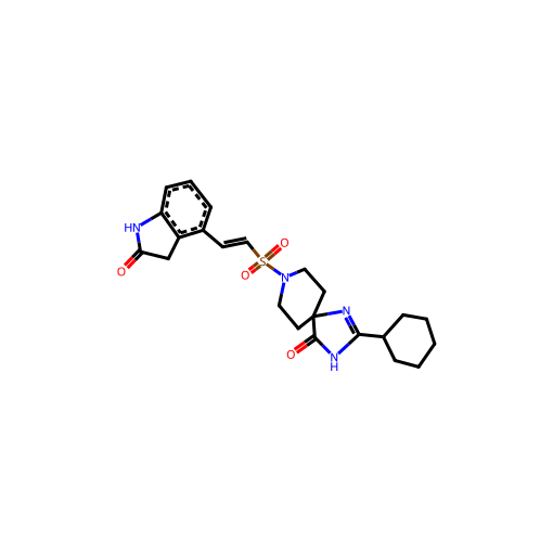 O=C1Cc2c(C=CS(=O)(=O)N3CCC4(CC3)N=C(C3CCCCC3)NC4=O)cccc2N1